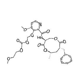 COCCOC(=O)OCOc1c(OC)ccnc1C(=O)N[C@H]1COC(=O)[C@H](Cc2ccccc2)C[C@H](C)OC1=O